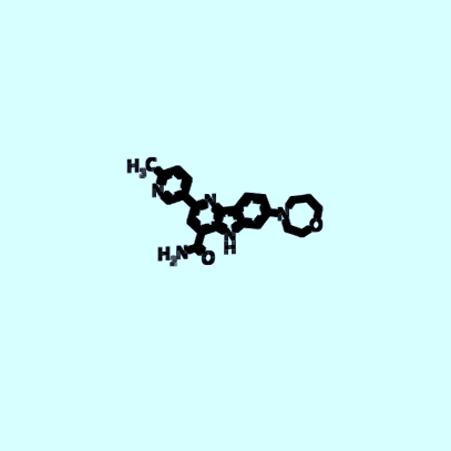 Cc1ccc(-c2cc(C(N)=O)c3[nH]c4cc(N5CCCOCC5)ccc4c3n2)cn1